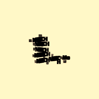 C#N.C#N.C#N.C#N.C#N.C#N.[Mo]